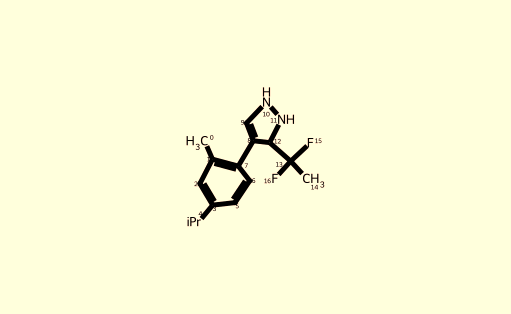 Cc1cc(C(C)C)ccc1C1=CNNC1C(C)(F)F